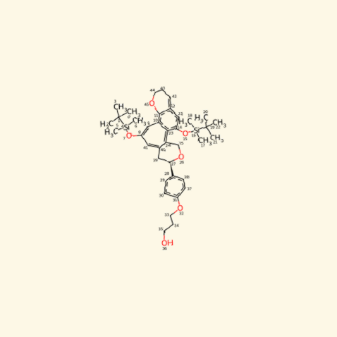 CC(C)(C)[Si](C)(C)OC1=Cc2c3c(cc(O[Si](C)(C)C(C)(C)C)c2=C2CO[C@@H](c4ccc(OCCCO)cc4)CC2=C1)=CCCO3